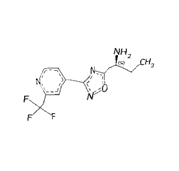 CC[C@H](N)c1nc(-c2ccnc(C(F)(F)F)c2)no1